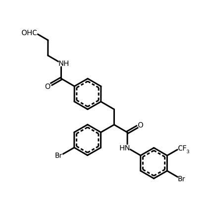 O=CCCNC(=O)c1ccc(CC(C(=O)Nc2ccc(Br)c(C(F)(F)F)c2)c2ccc(Br)cc2)cc1